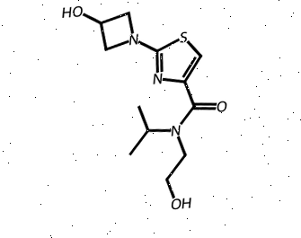 CC(C)N(CCO)C(=O)c1csc(N2CC(O)C2)n1